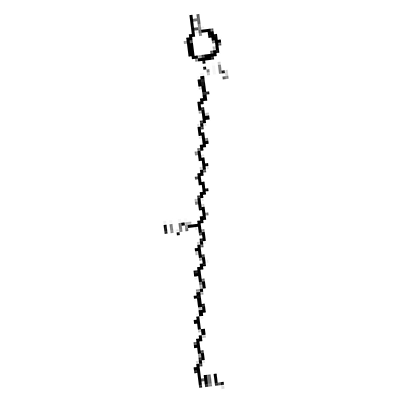 C1=CC=CNC=C1.NCCCCCCCCCCCCC(N)CCCCCCCCCCCCN